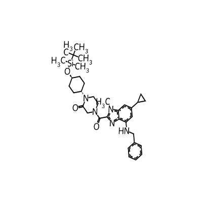 Cn1c(C(=O)N2CCN([C@H]3CC[C@H](O[Si](C)(C)C(C)(C)C)CC3)C(=O)C2)nc2c(NCc3ccccc3)cc(C3CC3)cc21